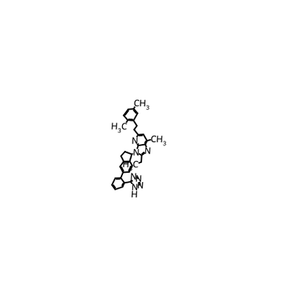 CCc1nc2c(C)cc(CCc3cc(C)ccc3C)nc2n1[C@H]1CCc2cc(-c3ccccc3-c3nnn[nH]3)ccc21